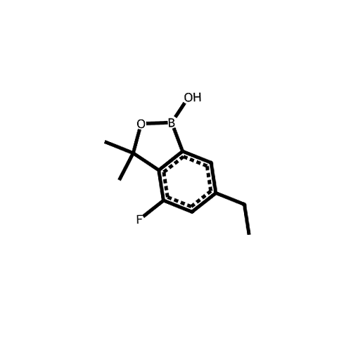 CCc1cc(F)c2c(c1)B(O)OC2(C)C